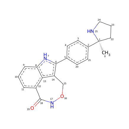 C[C@@]1(c2ccc(-c3[nH]c4cccc5c4c3CONC5=O)cc2)CCCN1